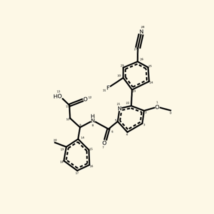 COc1ccc(C(=O)NC(CC(=O)O)c2ccccc2C)nc1-c1ccc(C#N)cc1F